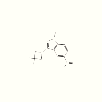 Cn1nc(N2CC(F)(F)C2)c2cc([N+](=O)[O-])ccc21